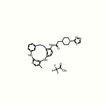 Cc1cnc2nc1Nc1ccc(NC(=O)CC3CCN(c4nncs4)CC3)c(c1)CCc1cccc(c1)N2.O=C(O)C(F)(F)F